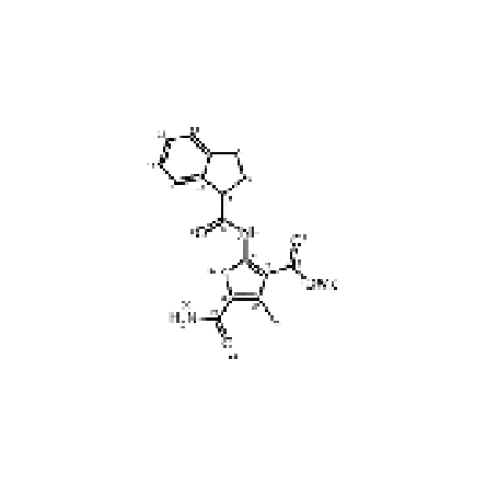 COC(=O)c1c(NC(=O)C2CCc3ccccc32)sc(C(N)=O)c1C